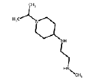 CNCCNC1CCN(C(C)C)CC1